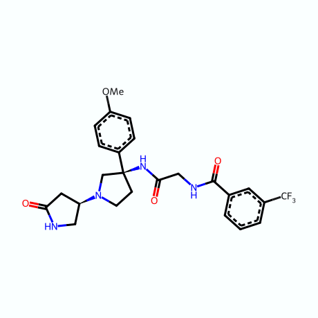 COc1ccc([C@]2(NC(=O)CNC(=O)c3cccc(C(F)(F)F)c3)CCN([C@H]3CNC(=O)C3)C2)cc1